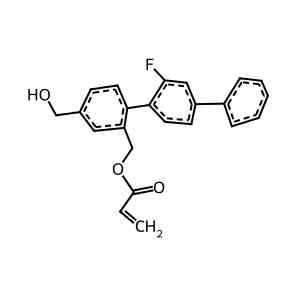 C=CC(=O)OCc1cc(CO)ccc1-c1ccc(-c2ccccc2)cc1F